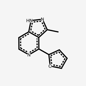 Cc1n[nH]c2ccnc(-c3ccco3)c12